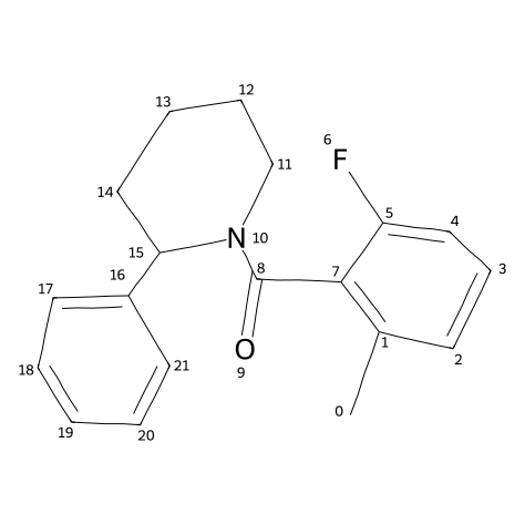 Cc1cccc(F)c1C(=O)N1CCCCC1c1ccccc1